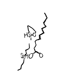 CCCCCCCCCCCC(=O)O.CCC[CH2][Sn][CH2]CCC.C[SiH]1CCCCO1